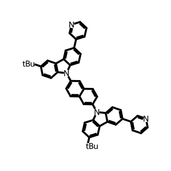 CC(C)(C)c1ccc2c(c1)c1cc(-c3cccnc3)ccc1n2-c1ccc2cc(-n3c4ccc(-c5cccnc5)cc4c4cc(C(C)(C)C)ccc43)ccc2c1